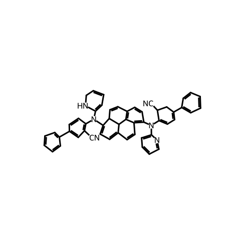 N#Cc1cc(-c2ccccc2)ccc1N(C1=CC=CCN1)C1=CC=C2C=Cc3c(N(C4=CC=C(c5ccccc5)CC4C#N)c4ccccn4)ccc4c3C2C1C=C4